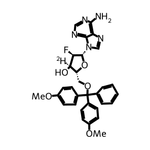 [2H][C@@]1(O)[C@@H](COC(c2ccccc2)(c2ccc(OC)cc2)c2ccc(OC)cc2)O[C@@H](n2cnc3c(N)ncnc32)[C@@H]1F